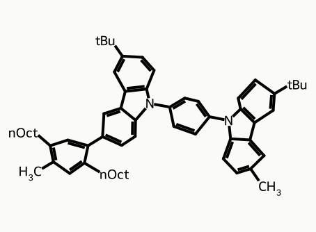 CCCCCCCCc1cc(-c2ccc3c(c2)c2cc(C(C)(C)C)ccc2n3-c2ccc(-n3c4ccc(C)cc4c4cc(C(C)(C)C)ccc43)cc2)c(CCCCCCCC)cc1C